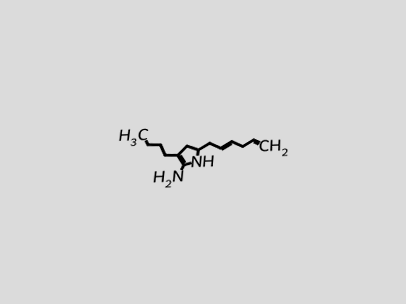 C=CC/C=C/CC1CC(CCCC)=C(N)N1